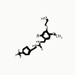 COc1cc(CNC(=S)NCc2ccc(C(F)(F)F)cc2)c(Br)cc1OCCO